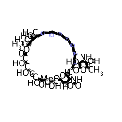 COC12CC(O)CC(O)C(O)CCC(O)CC(O)CC(=O)O[C@@H](C)[C@H](C)C(O)[C@@H](C)/C=C/C=C/C=C/C=C/C=C/C=C/C=C/C(OC3O[C@H](C)[C@@H](O)[C@H](N)[C@@H]3O)C[C@H](O1)C1NC(=O)O[C@H]1C2